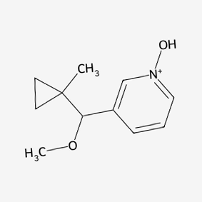 COC(c1ccc[n+](O)c1)C1(C)CC1